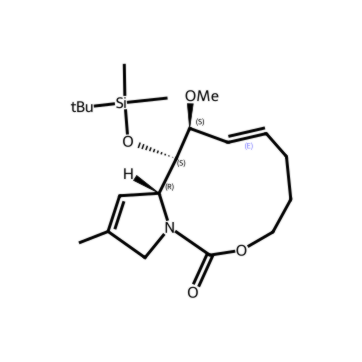 CO[C@H]1/C=C/CCCOC(=O)N2CC(C)=C[C@@H]2[C@@H]1O[Si](C)(C)C(C)(C)C